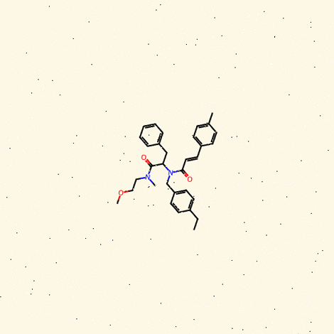 CCc1ccc(CN(C(=O)C=Cc2ccc(C)cc2)C(Cc2ccccc2)C(=O)N(C)CCOC)cc1